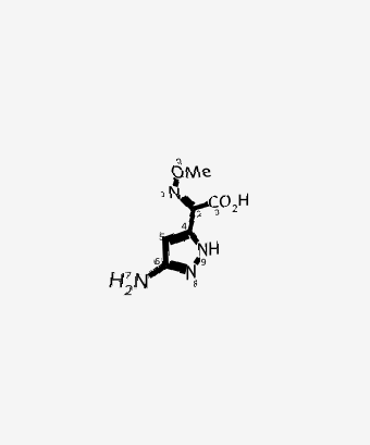 CON=C(C(=O)O)c1cc(N)n[nH]1